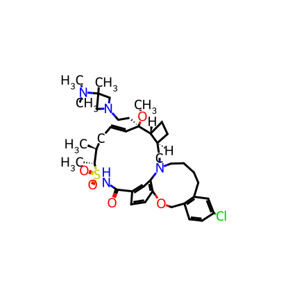 CO[C@]1(CCN2CC(C)(N(C)C)C2)/C=C/C[C@H](C)[C@@H](C)S(=O)(=O)NC(=O)c2ccc3c(c2)N(CCCCc2cc(Cl)ccc2CO3)C[C@@H]2CC[C@H]21